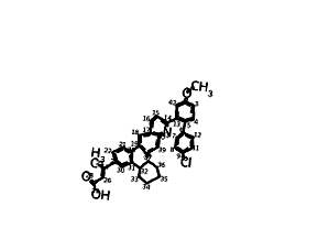 COc1ccc(-c2ccc(Cl)cc2)c(-c2ccc3cc(-c4ccc(C(C)=CC(=O)O)cc4C4CCCCC4)ccc3n2)c1